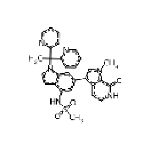 Cn1cc(-c2cc(NS(C)(=O)=O)c3ccn(C(C)(c4ccccn4)c4ccccn4)c3c2)c2cc[nH]c(=O)c21